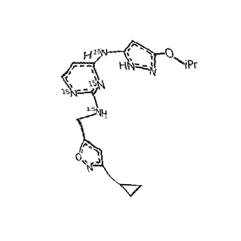 CC(C)Oc1cc([15NH]c2cc[15n]c([15NH]Cc3cc(C4CC4)no3)[15n]2)[nH]n1